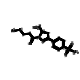 CC(=O)SCCC(=O)N1N=C(c2ccc(S(N)(=O)=O)cc2)CC1C(=O)O